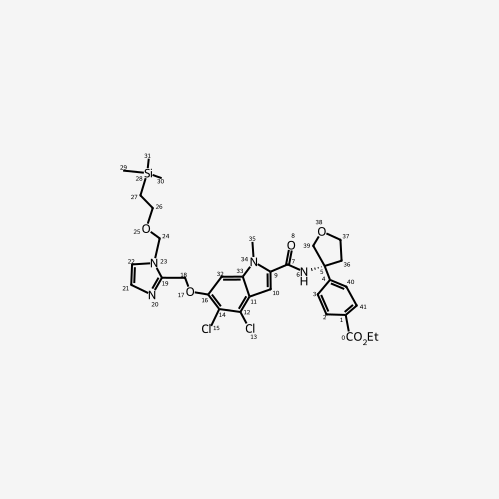 CCOC(=O)c1ccc([C@]2(NC(=O)c3cc4c(Cl)c(Cl)c(OCc5nccn5COCC[Si](C)(C)C)cc4n3C)CCOC2)cc1